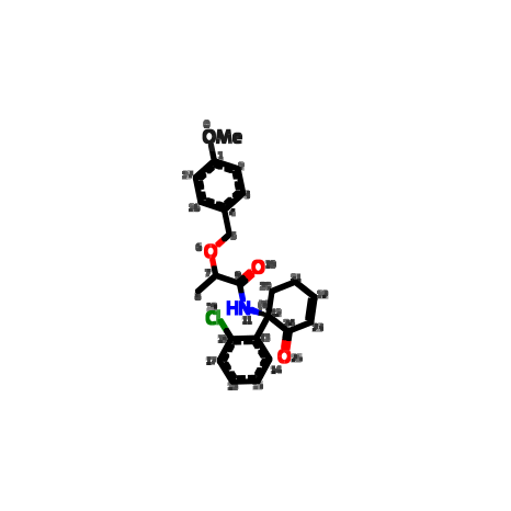 COc1ccc(COC(C)C(=O)N[C@@]2(c3ccccc3Cl)CCC=CC2=O)cc1